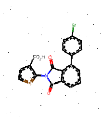 O=C(O)c1ccsc1N1C(=O)c2cccc(-c3ccc(Br)cc3)c2C1=O